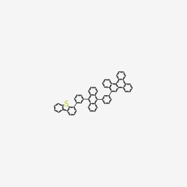 c1cc(-c2c3ccccc3c(-c3cccc(-c4cccc5c4sc4ccccc45)c3)c3ccccc23)cc(-c2cc3c4ccccc4c4ccccc4c3c3ccccc23)c1